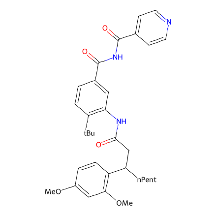 CCCCCC(CC(=O)Nc1cc(C(=O)NC(=O)c2ccncc2)ccc1C(C)(C)C)c1ccc(OC)cc1OC